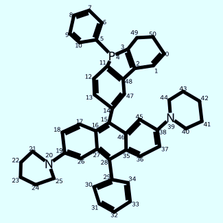 C1=Cc2c(p(-c3ccccc3)c3ccc(-c4c5ccc(N6CCCCC6)cc5c(-c5ccccc5)c5ccc(N6CCCCC6)cc45)cc23)CC1